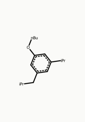 [CH2]C(C)c1cc(CC(C)C)cc(OCCCC)c1